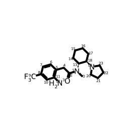 CN(C(=O)Cc1ccc(C(F)(F)F)cc1N)[C@@H]1CCCC[C@H]1N1CCCC1